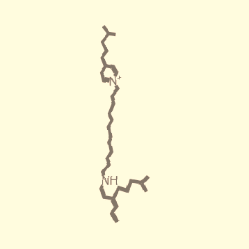 C=C/C=C(\C=C/NCCCCCCCCCCCC[N+]1=CCC(CCCC(C)C)C=C1)CCCC(C)C